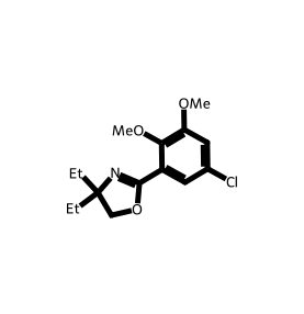 CCC1(CC)COC(c2cc(Cl)cc(OC)c2OC)=N1